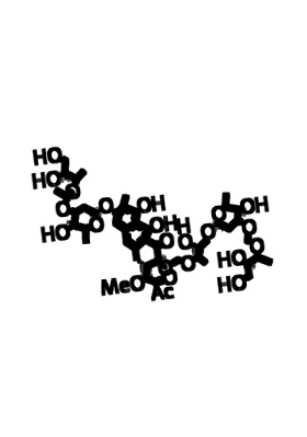 CO[C@H](C(=O)C(C)=O)[C@@H]1Cc2cc3cc(O[C@H]4CC(OC(C)OC(C)[C@@H](O)CO)[C@H](O)C(C)O4)c(C)c(O)c3c(O)c2C(=O)[C@H]1OCOC(C)[C@@H](O)CO[C@H]1CC(OCOC(C)[C@@H](O)CO)[C@@H](O)C(C)O1